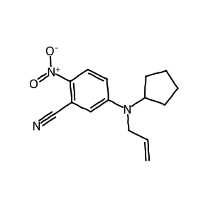 C=CCN(c1ccc([N+](=O)[O-])c(C#N)c1)C1CCCC1